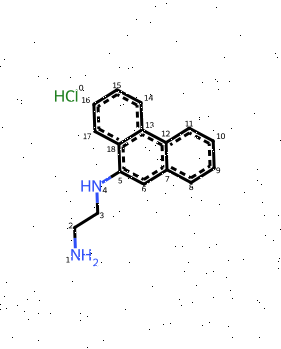 Cl.NCCNc1cc2ccccc2c2ccccc12